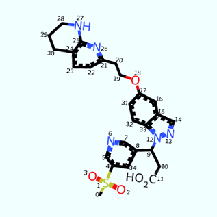 CS(=O)(=O)c1cncc(C(CC(=O)O)n2ncc3cc(OCCc4ccc5c(n4)NCCC5)ccc32)c1